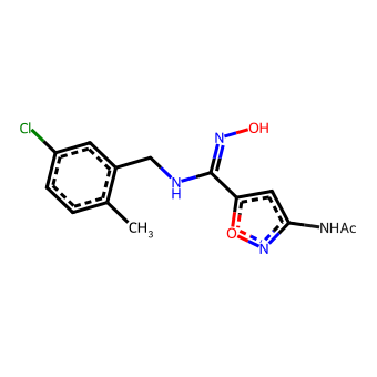 CC(=O)Nc1cc(C(=NO)NCc2cc(Cl)ccc2C)on1